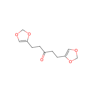 O=C(CCC1=COCO1)CCC1=COCO1